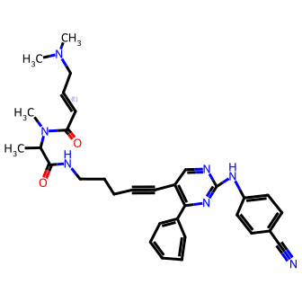 CC(C(=O)NCCCC#Cc1cnc(Nc2ccc(C#N)cc2)nc1-c1ccccc1)N(C)C(=O)/C=C/CN(C)C